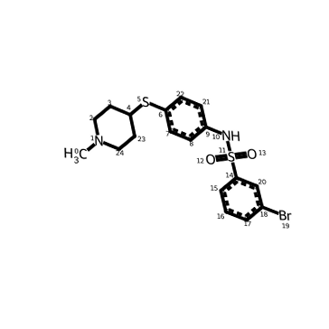 CN1CCC(Sc2ccc(NS(=O)(=O)c3cccc(Br)c3)cc2)CC1